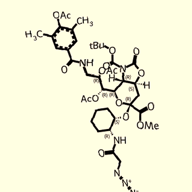 COC(=O)[C@@]1(O[C@H]2CCCC[C@H]2NC(=O)CN=[N+]=[N-])C[C@@H]2OC(=O)N(C(=O)OC(C)(C)C)[C@H]2[C@H]([C@H](OC(C)=O)[C@@H](CNC(=O)c2cc(C)c(OC(C)=O)c(C)c2)OC(C)=O)O1